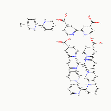 O=C([O-])c1ccnc(-c2cc(C(=O)[O-])ccn2)c1.O=C([O-])c1ccnc(-c2cc(C(=O)[O-])ccn2)c1.[Ru+4].c1ccc(-c2ccccn2)nc1.c1ccc(-c2ccccn2)nc1.c1ccc(-c2ccccn2)nc1.c1ccc(-c2ccccn2)nc1